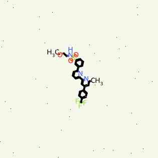 COCCNS(=O)(=O)c1cccc(-c2cccc(-c3cc(-c4ccc(C(F)(F)F)cc4)cc(C)n3)n2)c1